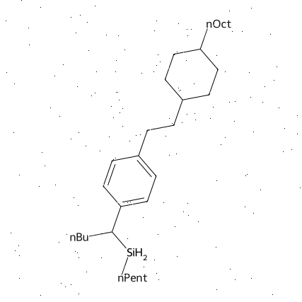 CCCCCCCCC1CCC(CCc2ccc(C(CCCC)[SiH2]CCCCC)cc2)CC1